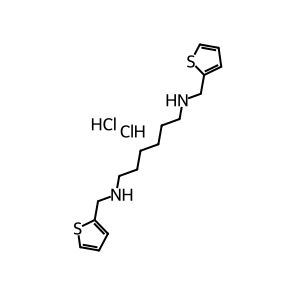 Cl.Cl.c1csc(CNCCCCCCNCc2cccs2)c1